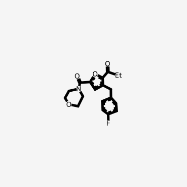 CCC(=O)c1oc(C(=O)N2CCOCC2)cc1Cc1ccc(F)cc1